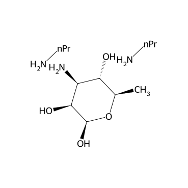 CCCN.CCCN.C[C@H]1O[C@@H](O)[C@@H](O)[C@@H](N)[C@@H]1O